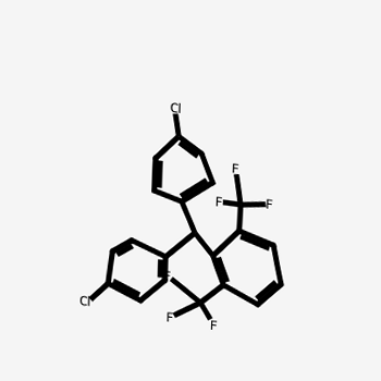 FC(F)(F)c1cccc(C(F)(F)F)c1C(c1ccc(Cl)cc1)c1ccc(Cl)cc1